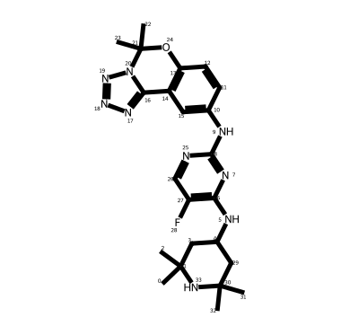 CC1(C)CC(Nc2nc(Nc3ccc4c(c3)-c3nnnn3C(C)(C)O4)ncc2F)CC(C)(C)N1